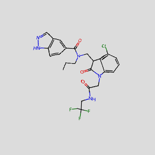 CCCN(CC1C(=O)N(CC(=O)NCC(F)(F)F)c2cccc(Cl)c21)C(=O)c1ccc2[nH]ncc2c1